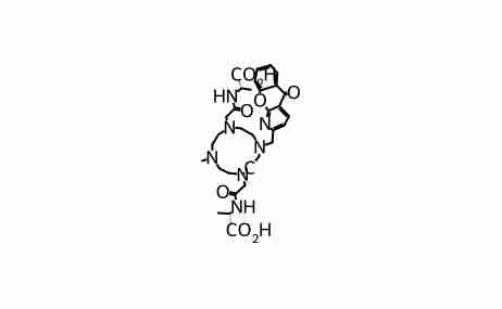 C[C@H](NC(=O)CN1CCN(C)CCN(CC(=O)N[C@@H](C)C(=O)O)CCN(Cc2ccc3c(=O)c4ccccc4oc3n2)CC1)C(=O)O